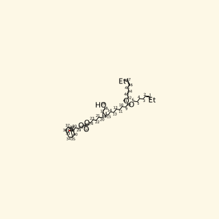 CC/C=C\CCCCOC(CCCCCCCN(CCO)CCCCCOC(=O)OCCC12CC3CC(CC(C3)C1)C2)OCCCC/C=C\CC